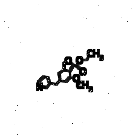 CCOC(=O)c1occ2cc(Cc3cccnc3)cc(OC)c12